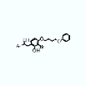 CC(=O)C(C)Cc1ccc(OCCCCOc2ccccc2)c(Br)c1O